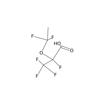 CC(F)(F)OC(F)(C(=O)O)C(F)(F)F